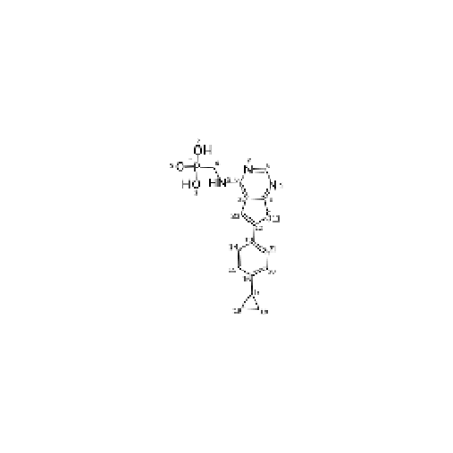 O=P(O)(O)CNc1ncnc2sc(-c3ccc(C4CC4)cc3)cc12